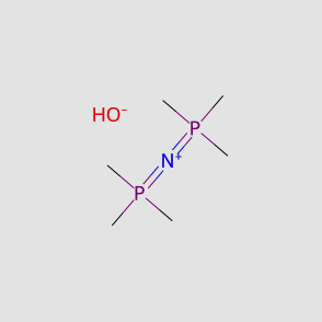 CP(C)(C)=[N+]=P(C)(C)C.[OH-]